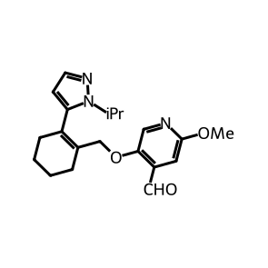 COc1cc(C=O)c(OCC2=C(c3ccnn3C(C)C)CCCC2)cn1